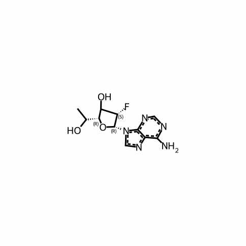 CC(O)[C@H]1O[C@@H](n2cnc3c(N)ncnc32)[C@@H](F)C1O